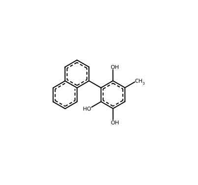 Cc1cc(O)c(O)c(-c2cccc3ccccc23)c1O